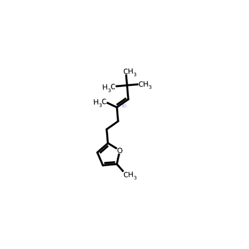 C/C(=C\C(C)(C)C)CCc1ccc(C)o1